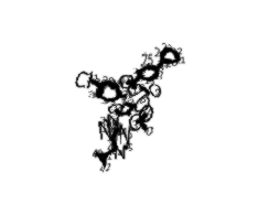 CC(=O)O[C@@H]1[C@H](OC(C)=O)[C@@H](C(OC(=O)c2ccc(-c3ccccc3)cc2)c2ccc(Cl)cc2)O[C@@H]1n1cnc2c(C3CC3)ncnc21